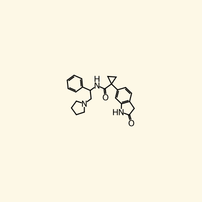 O=C1Cc2ccc(C3(C(=O)NC(CN4CCCC4)c4ccccc4)CC3)cc2N1